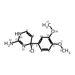 COc1ccc(C2(Cl)C=CNC(N)=N2)cc1OC